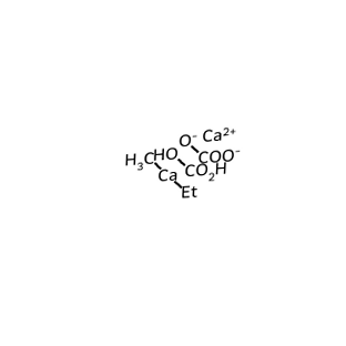 C[CH2][Ca][CH3].O=C(O)O.O=C([O-])[O-].[Ca+2]